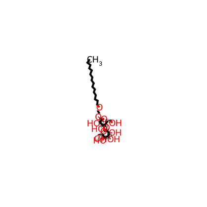 CCCCCCCCCCCCCCCCOCCO[C@H]1O[C@H](CO)[C@@H](O[C@@H]2O[C@H](CO)[C@H](O)[C@H](O)[C@H]2O)[C@H](O)[C@H]1O